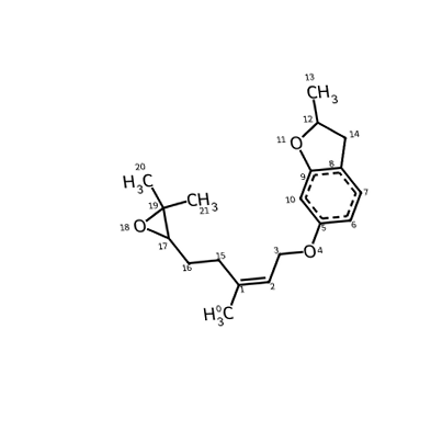 CC(=CCOc1ccc2c(c1)OC(C)C2)CCC1OC1(C)C